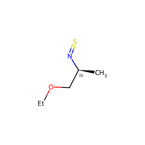 CCOC[C@H](C)N=S